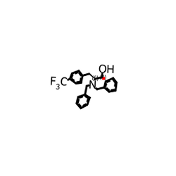 C[C@@H](O)[C@H](Cc1ccc(C(F)(F)F)cc1)N(Cc1ccccc1)Cc1ccccc1